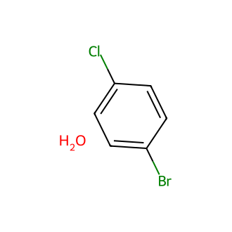 Clc1ccc(Br)cc1.O